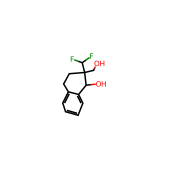 OCC1(C(F)F)CCc2ccccc2C1O